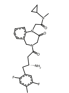 Cc1cc(F)c(C[C@@H](N)CC(=O)N2CC(=O)N(CC(=O)N(C)C3CC3)c3ccccc3C2)cc1F